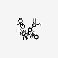 CC(C)(C)OC(=O)N1CCCC(Nc2ncc(C(F)(F)F)c(-c3cn(S(=O)(=O)c4ccccc4)c4cc(-c5c[nH]c(C#N)c5)ccc34)n2)C1